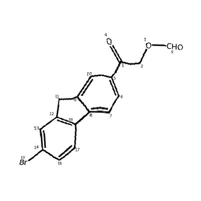 O=COCC(=O)c1ccc2c(c1)Cc1cc(Br)ccc1-2